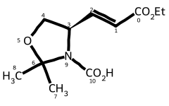 CCOC(=O)C=C[C@@H]1COC(C)(C)N1C(=O)O